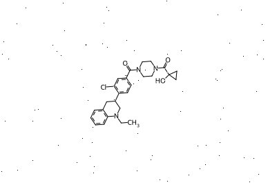 CCN1CC(c2ccc(C(=O)N3CCN(C(=O)C4(O)CC4)CC3)cc2Cl)Cc2ccccc21